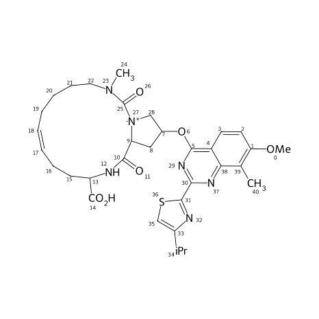 COc1ccc2c(OC3CC4C(=O)NC(C(=O)O)CCC=CCCCCN(C)C(=O)[N+]4C3)nc(-c3nc(C(C)C)cs3)nc2c1C